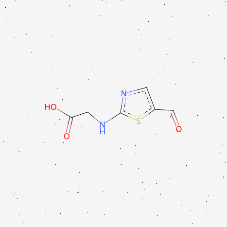 O=Cc1cnc(NCC(=O)O)s1